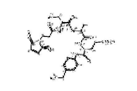 CC(=O)OCc1ccc(NC(=O)[C@H](CCC(=O)O)NC(=O)[C@H](C)NC(=O)[C@@H](CC(C)C)NC(=O)CCN2C(=O)C=CC2=O)cc1